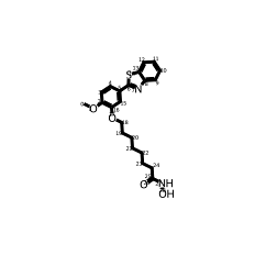 COc1ccc(-c2nc3ccccc3s2)cc1OCCCCCCCC(=O)NO